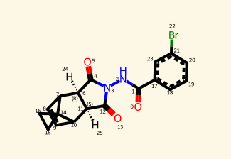 O=C(NN1C(=O)[C@@H]2C3C=CC([C@@H]2C1=O)C31CC1)c1cccc(Br)c1